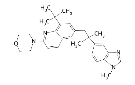 Cn1cnc2cc(C(C)(C)Cc3cc(C(C)(C)C)c4nc(N5CCOCC5)ccc4c3)ccc21